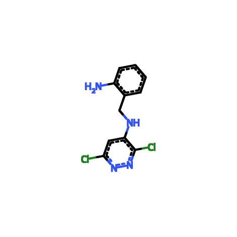 Nc1ccccc1CNc1cc(Cl)nnc1Cl